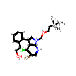 C[Si](C)(C)CCOCn1cc(-c2ccccc2CCO)c2c(Cl)c(Br)cnc21